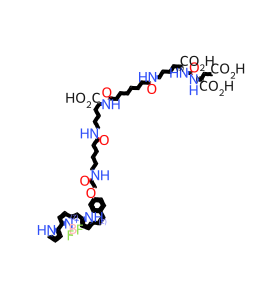 O=C(O)CC[C@H](NC(=O)N[C@@H](CCCCNC(=O)CCCCCCC(=O)NC(CCCCNC(=O)CCCCCNC(=O)COc1ccc(/C=C\c2ccc(/C=C3/C=CC(c4ccc[nH]4)=[N+]3B(F)F)[nH]2)cc1)C(=O)O)C(=O)O)C(=O)O